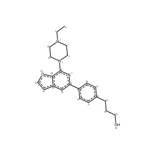 CCN1CCN(c2nc(-c3ccc(CCCO)cc3)cc3ccoc23)CC1